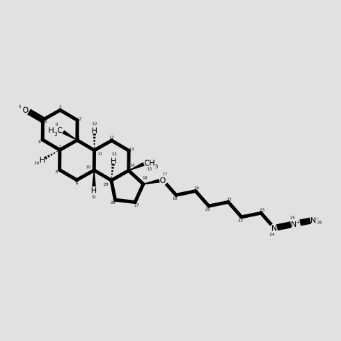 C[C@]12CCC(=O)C[C@@H]1CC[C@@H]1[C@@H]2CC[C@]2(C)[C@@H](OCCCCCCN=[N+]=[N-])CC[C@@H]12